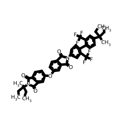 CCC(C)(CC)c1ccc(-c2ccc(N3C(=O)c4ccc(Oc5ccc6c(c5)C(=O)N(C(C)(CC)CC)C6=O)cc4C3=O)cc2C(F)(F)F)c(C(F)(F)F)c1